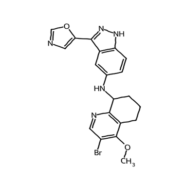 COc1c(Br)cnc2c1CCCC2Nc1ccc2[nH]nc(-c3cnco3)c2c1